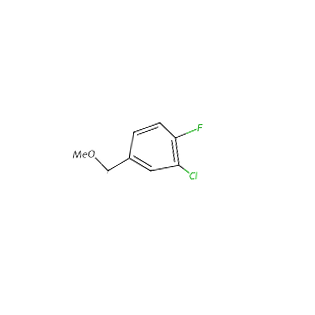 CO[CH]c1ccc(F)c(Cl)c1